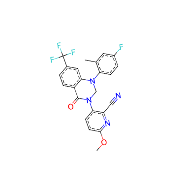 COc1ccc(N2CN(c3ccc(F)cc3C)c3cc(C(F)(F)F)ccc3C2=O)c(C#N)n1